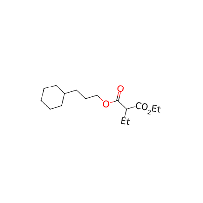 CCOC(=O)C(CC)C(=O)OCCCC1CCCCC1